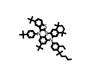 CCCCC(C)(C)c1ccc(N2c3cc4c(cc3B3c5sc6ccc(C(C)(C)C)cc6c5N(c5ccc(C(C)(C)C)cc5)c5cc(C(C)(C)C)cc2c53)C(C)(C)CCC4(C)C)cc1CC